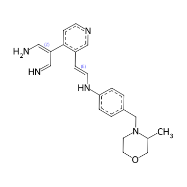 CC1COCCN1Cc1ccc(N/C=C/c2cnccc2/C(C=N)=C/N)cc1